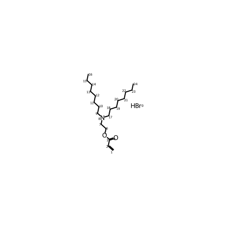 Br.C=CC(=O)OCCN(CCCCCCCC)CCCCCCCC